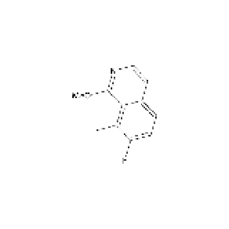 COc1nccc2ccc(F)c(C)c12